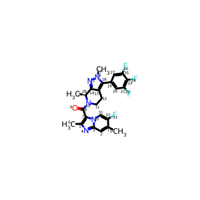 Cc1cc2nc(C)c(C(=O)N3CCc4c(nn(C)c4-c4cc(F)c(F)c(F)c4)[C@@H]3C)n2cc1F